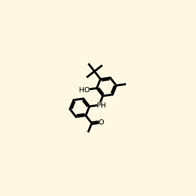 CC(=O)c1ccccc1Pc1cc(C)cc(C(C)(C)C)c1O